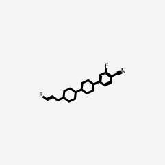 N#Cc1ccc(C2CCC(C3CCC(CC=CF)CC3)CC2)cc1F